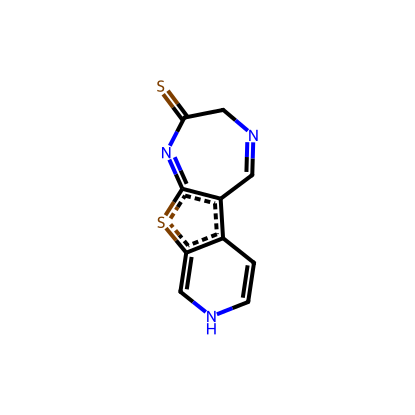 S=C1CN=Cc2c3c(sc2=N1)=CNC=C3